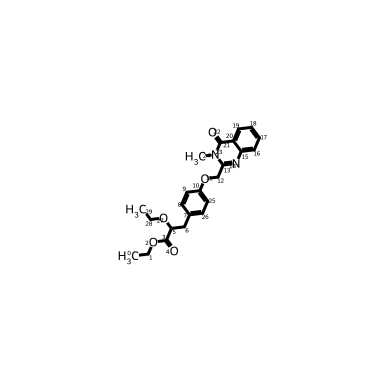 CCOC(=O)C(Cc1ccc(OCc2nc3ccccc3c(=O)n2C)cc1)OCC